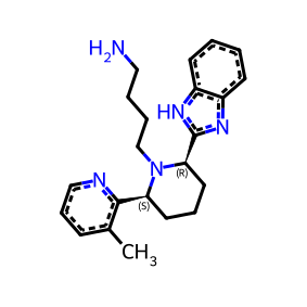 Cc1cccnc1[C@@H]1CCC[C@H](c2nc3ccccc3[nH]2)N1CCCCN